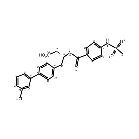 CS(=O)(=O)Nc1ccc(C(=O)N[C@@H](CC(=O)O)Cc2ccc(-c3cccc(Cl)c3)cc2)cc1